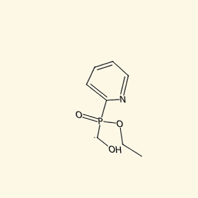 CCOP(=O)([CH]O)c1ccccn1